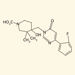 CC1(C)CN(C(=O)O)CCC1(O)Cn1cnc(-c2ccccc2F)cc1=O